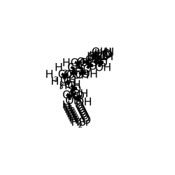 Br.CC(=O)O.CCC(=O)O.CO.Cl.I.O.O.O.O.O.O.O.O.O.O.O.O=C(O)C(=O)O.O=C(O)C(O)C(O)C(=O)O.O=C(O)CC(O)(CC(=O)O)C(=O)O.O=C(O)CCC(=O)O